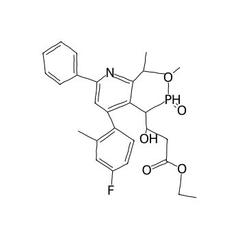 CCOC(=O)CC(O)C(c1c(-c2ccc(F)cc2C)cc(-c2ccccc2)nc1C(C)C)[PH](=O)OC